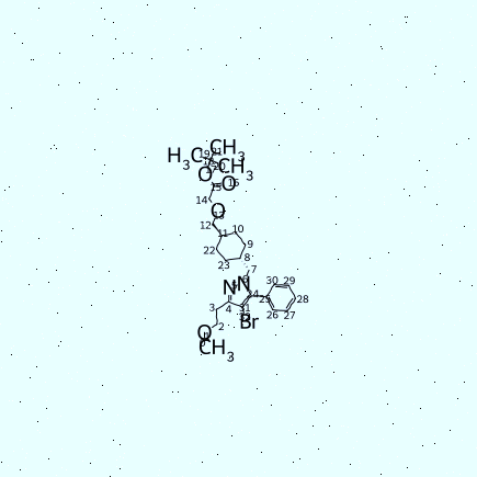 COCCc1nn(C[C@H]2CC[C@H](COCC(=O)OC(C)(C)C)CC2)c(-c2ccccc2)c1Br